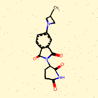 CC1CN(c2ccc3c(c2)C(=O)N(C2CCC(=O)NC2=O)C3=O)C1